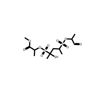 COC(=O)C(C)OS(=O)(=O)C(C)(S)CC(C)S(=O)(=O)OC(C)C=O